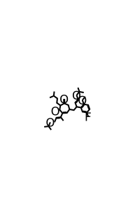 COc1ccc(F)cc1C(/C=C/OC(C)C)CC1C=C(/C(C)=C/COC(C)C)C(=O)C(CCC(C)C)C(=O)C1